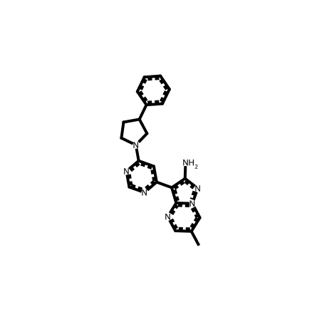 Cc1cnc2c(-c3cc(N4CCC(c5ccccc5)C4)ncn3)c(N)nn2c1